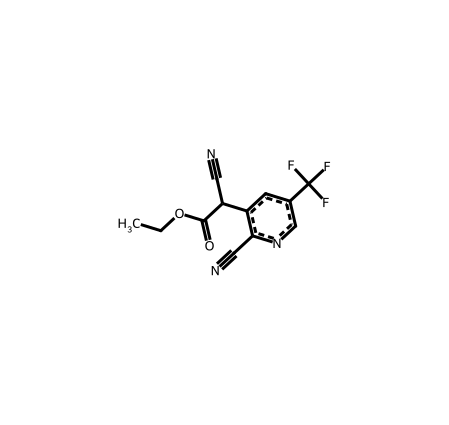 CCOC(=O)C(C#N)c1cc(C(F)(F)F)cnc1C#N